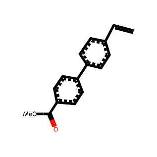 C=Cc1ccc(-c2ccc(C(=O)OC)cc2)cc1